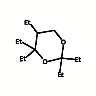 CCC1COC(CC)(CC)OC1(CC)CC